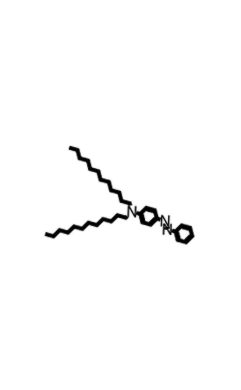 CCCCCCCCCCCCN(CCCCCCCCCCCC)c1ccc(N=Nc2ccccc2)cc1